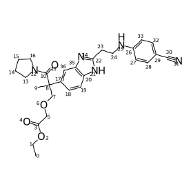 CCOC(=O)COCC(C)(C(=O)N1CCCC1)c1ccc2[nH]c(CCNc3ccc(C#N)cc3)nc2c1